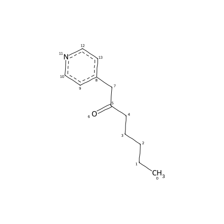 CCCCCC(=O)Cc1ccncc1